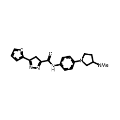 CNC1CCN(c2ccc(NC(=O)C3=NN=C(c4ccco4)C3)cc2)C1